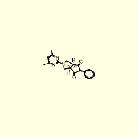 Cc1cc(C)nc(N2C[C@@H]3C(=O)C(c4ccccc4)C(=O)[C@@H]3C2)n1